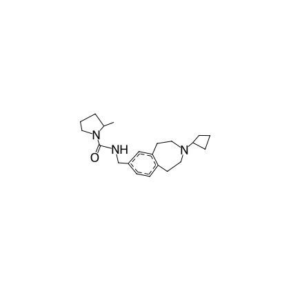 CC1CCCN1C(=O)NCc1ccc2c(c1)CCN(C1CCC1)CC2